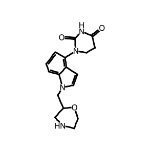 O=C1CCN(c2cccc3c2ccn3CC2CNCCO2)C(=O)N1